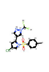 Cc1ccc(S(=O)(=O)n2cc(Cl)cc2-c2cnn(C(F)F)c2)cc1